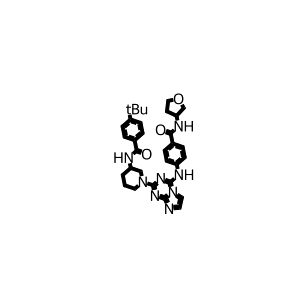 CC(C)(C)c1ccc(C(=O)NC2CCCN(c3nc(Nc4ccc(C(=O)NC5CCOC5)cc4)n4ccnc4n3)C2)cc1